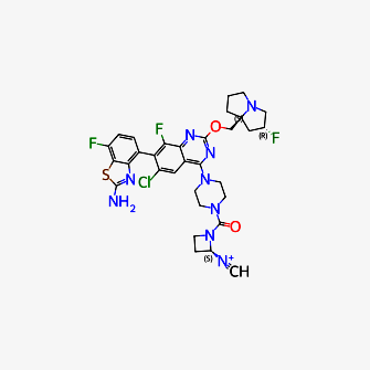 C#[N+][C@H]1CCN1C(=O)N1CCN(c2nc(OC[C@@]34CCCN3C[C@H](F)C4)nc3c(F)c(-c4ccc(F)c5sc(N)nc45)c(Cl)cc23)CC1